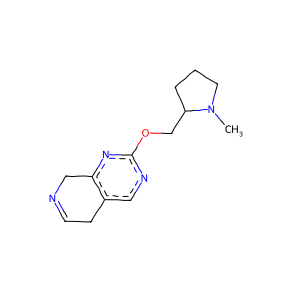 CN1CCCC1COc1ncc2c(n1)CN=CC2